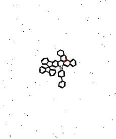 c1ccc(-c2ccc(N(c3ccc4ccccc4c3)c3cc4c(cc3-c3cccc5c3CCCC5)-c3ccccc3C43c4ccccc4-c4ccccc43)cc2)cc1